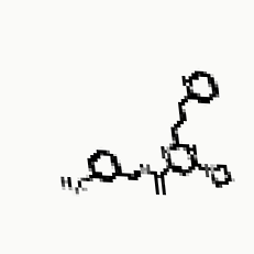 Cc1cccc(/C=N/Nc2cc(N3CCC3)nc(CCCc3ccccn3)n2)c1